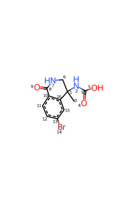 CC1(NC(=O)O)CNC(=O)c2ccc(Br)cc21